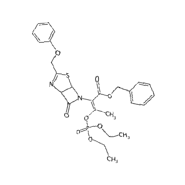 CCOP(=O)(OCC)OC(C)=C(C(=O)OCc1ccccc1)N1C(=O)C2N=C(COc3ccccc3)SC21